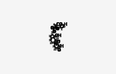 CC(C(=O)O)N(Oc1ccccc1)[PH](=O)OC[C@H]1CC2=CC[C@@H](n3ccc(=O)[nH]c3=O)[C@](C)(F)C2[C@@H]1O